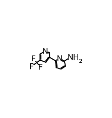 Nc1cccc(-c2cncc(C(F)(F)F)c2)n1